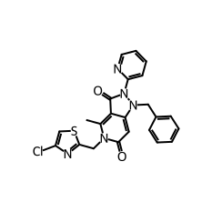 Cc1c2c(=O)n(-c3ccccn3)n(Cc3ccccc3)c2cc(=O)n1Cc1nc(Cl)cs1